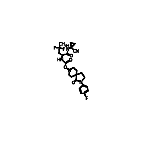 CC(F)(F)C[C@H](NC(=O)ON1CCC2(CC1)CCN(c1ccc(F)cc1)C2=O)C(=O)NC1(C#N)CC1